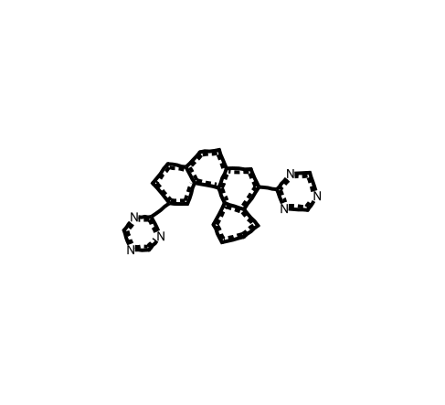 c1ccc2c(c1)c(-c1ncncn1)cc1ccc3ccc(-c4ncncn4)cc3c12